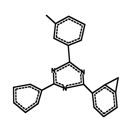 Cc1cccc(-c2nc(-c3ccccc3)nc(-c3cccc4c3C4)n2)c1